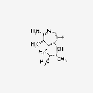 C=C1C=C(NC(C)C(C)C)C(F)=CN=C1N